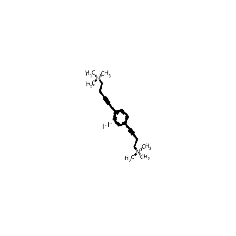 C[N+](C)(C)CCC#Cc1ccc(C#CCC[N+](C)(C)C)cc1.[I-].[I-]